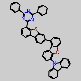 c1ccc(-c2nc(-c3ccccc3)nc(-c3cccc4c3sc3cc(-c5cccc6oc7c(-n8c9ccccc9c9ccccc98)cccc7c56)ccc34)n2)cc1